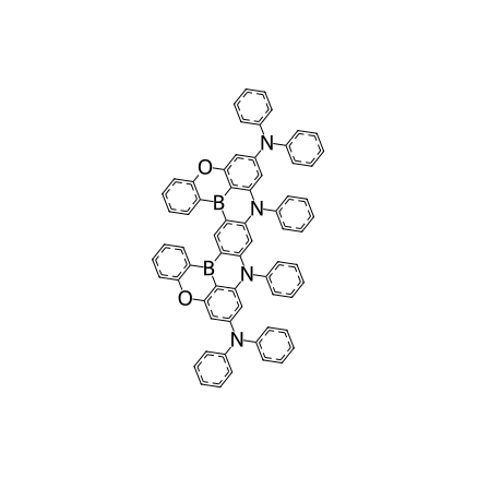 c1ccc(N(c2ccccc2)c2cc3c4c(c2)N(c2ccccc2)c2cc5c(cc2B4c2ccccc2O3)B2c3ccccc3Oc3cc(N(c4ccccc4)c4ccccc4)cc(c32)N5c2ccccc2)cc1